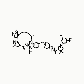 C=C1/N=C2\Nc3ccc(CN4CCC5(CC4)CN(C(=C)C4CN(c6cc(F)cc(F)c6)CC4(C)C)C5)cc3N2C[C@H](C)CCCCc2c(cnn2C)-c2cc1cc(C)n2